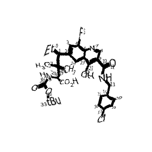 CCC(c1cc(F)c2ncc(C(=O)NCc3ccc(Cl)cc3)c(O)c2c1)C(C)(C)C(NC(=O)OC(C)(C)C)C(=O)O